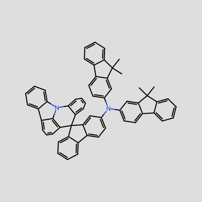 CC1(C)c2ccccc2-c2ccc(N(c3ccc4c(c3)C(C)(C)c3ccccc3-4)c3ccc4c(c3)C3(c5ccccc5-4)c4ccccc4-n4c5ccccc5c5cccc3c54)cc21